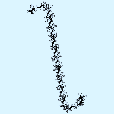 C=C(C)C(=O)OCCC[Si](C)(C)O[Si](C)(C)CC[Si](C)(C)[Si](C)(C)CC[Si](C)(C)[Si](C)(C)CC[Si](C)(C)[Si](C)(C)CC[Si](C)(C)[Si](C)(C)CC[Si](C)(C)[Si](C)(C)CC[Si](C)(C)[Si](C)(C)CC[Si](C)(C)[Si](C)(C)CC[Si](C)(C)[Si](C)(C)CC[Si](C)(C)[Si](C)(C)CC[Si](C)(C)O[Si](C)(C)CCCOCC(F)(F)CC(C)(F)F